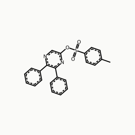 Cc1ccc(S(=O)(=O)Oc2cnc(-c3ccccc3)c(-c3ccccc3)n2)cc1